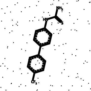 NC(=S)Nc1ccc(-c2ccc(C(F)(F)F)cc2)cc1